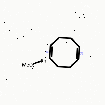 C1=C\CC/C=C\CC/1.C[O][Rh]